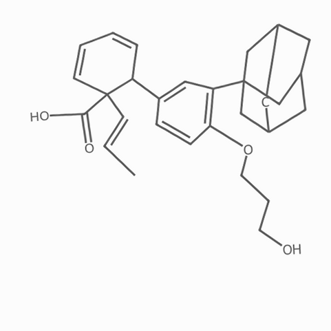 CC=CC1(C(=O)O)C=CC=CC1c1ccc(OCCCO)c(C23CC4CC(CC(C4)C2)C3)c1